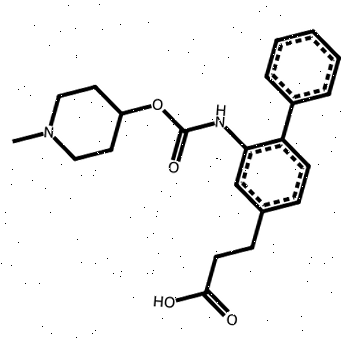 CN1CCC(OC(=O)Nc2cc(CCC(=O)O)ccc2-c2ccccc2)CC1